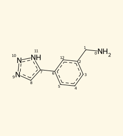 NCc1cccc(-c2cnn[nH]2)c1